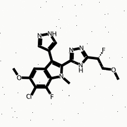 COC[C@@H](F)c1nnc(-c2c(-c3cn[nH]c3)c3cc(OC)c(Cl)c(F)c3n2C)[nH]1